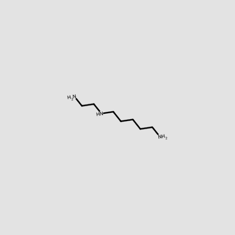 NCCCCCNCCN